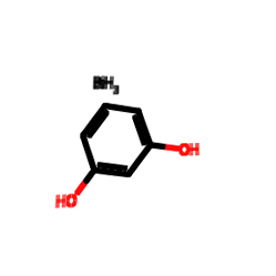 Oc1cccc(O)c1.[BiH3]